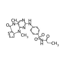 CCC(=O)NS(=O)(=O)c1ccc(Nc2ncc3c(n2)N(C)c2ccsc2C(=O)N3C)cc1